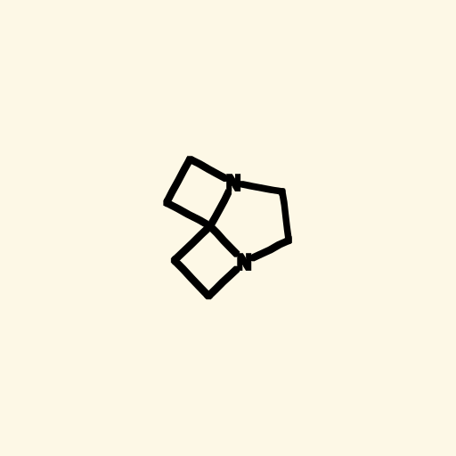 C1CN2CCC23CCN13